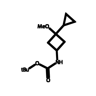 COC1(C2CC2)CC(NC(=O)OC(C)(C)C)C1